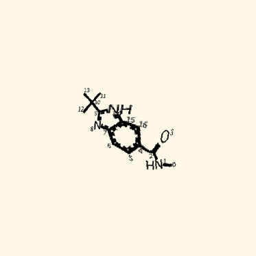 CNC(=O)c1ccc2nc(C(C)(C)C)[nH]c2c1